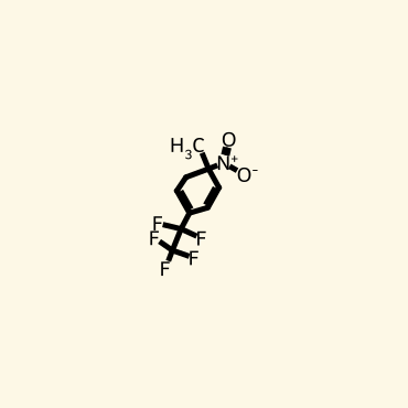 CC1([N+](=O)[O-])C=CC(C(F)(F)C(F)(F)F)=CC1